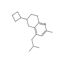 Cc1cc(CC(C)C)c2c(n1)CCC(C1CCC1)C2